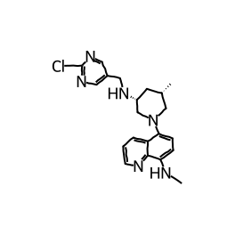 CNc1ccc(N2C[C@@H](C)C[C@@H](NCc3cnc(Cl)nc3)C2)c2cccnc12